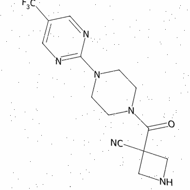 N#CC1(C(=O)N2CCN(c3ncc(C(F)(F)F)cn3)CC2)CNC1